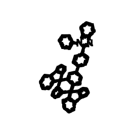 c1ccc(-n2c(-c3ccc(-c4ccc5c(c4)C4(c6ccccc6-c6ccccc64)c4ccccc4C54c5ccccc5-c5ccccc54)cc3)nc3ccccc32)cc1